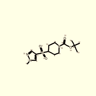 Cn1cc(S(=O)(=O)C2CCN(C(=O)OC(C)(C)C)CC2)cn1